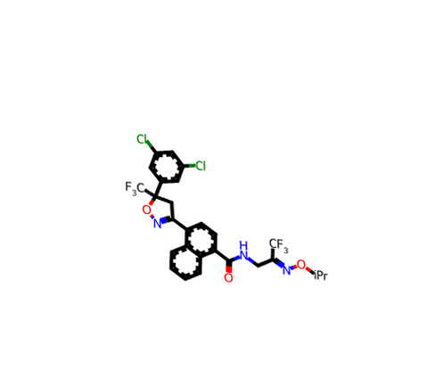 CC(C)O/N=C(/CNC(=O)c1ccc(C2=NOC(c3cc(Cl)cc(Cl)c3)(C(F)(F)F)C2)c2ccccc12)C(F)(F)F